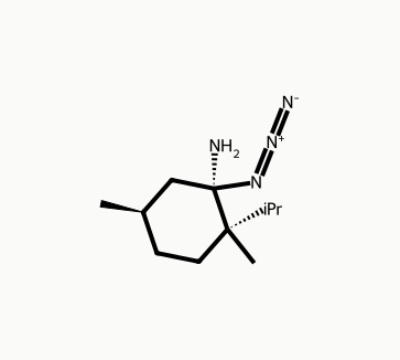 CC(C)[C@]1(C)CC[C@@H](C)C[C@@]1(N)N=[N+]=[N-]